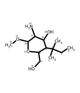 CCC(C)(C)C1C(CO)OC(OC)C(N)C1O